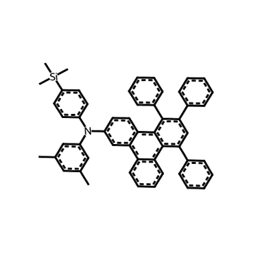 Cc1cc(C)cc(N(c2ccc([Si](C)(C)C)cc2)c2ccc3c(c2)c2ccccc2c2c(-c4ccccc4)cc(-c4ccccc4)c(-c4ccccc4)c32)c1